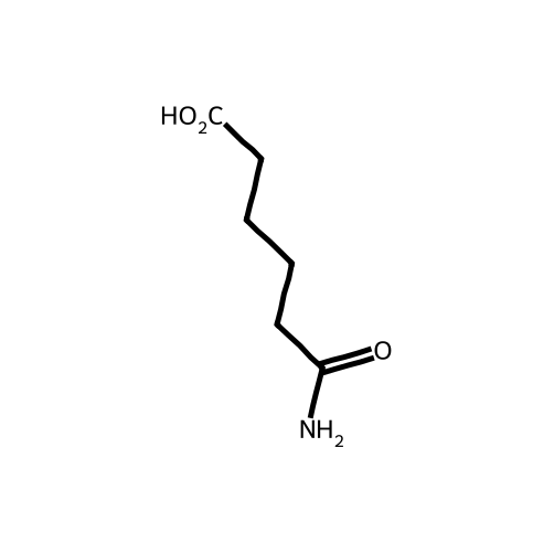 NC(=O)CCCCC(=O)O